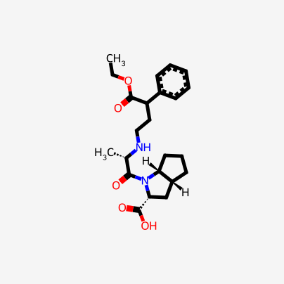 CCOC(=O)C(CCN[C@@H](C)C(=O)N1[C@@H](C(=O)O)C[C@H]2CCC[C@H]21)c1ccccc1